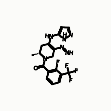 C[C@@H]1CC(Nc2ccn[nH]2)=C(N=N)CN1C(=O)c1cccc(C(F)(F)F)c1F